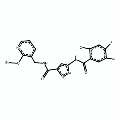 CCOc1ncccc1CNC(=O)c1cc(NC(=O)c2cc(F)c(F)cc2Cl)[nH]n1